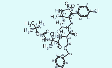 CCN(CC1=C(c2ccc(Cl)cc2)S(=O)(=O)NC1(C)C)C(=O)C(COCc1ccccc1)NC(=O)C(C)(C)NC(=O)OC(C)(C)C